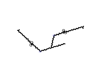 CCCCCCCCCCCC(CCCCCCCC/C=C\CCCCCCCC(=O)OCCCCCCCCCCCCCC(C)C)CCCCCCCC/C=C\CCCCCCCC(=O)OCCCCCCCCCCCCCC(C)C